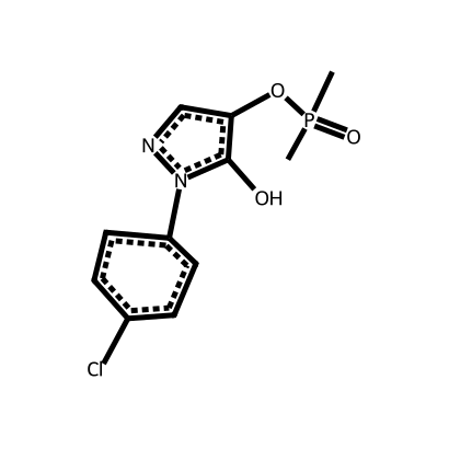 CP(C)(=O)Oc1cnn(-c2ccc(Cl)cc2)c1O